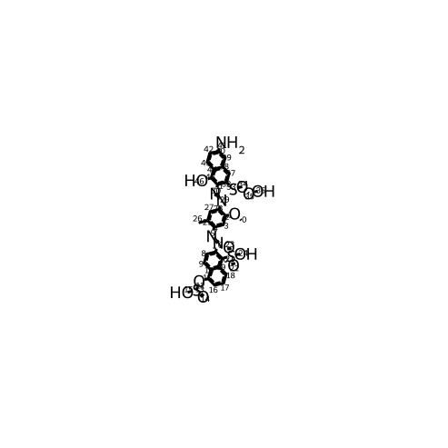 COc1cc(/N=N/c2ccc3c(OS(=O)O)cccc3c2S(=O)(=O)O)c(C)cc1/N=N/c1c(SOOO)cc2cc(N)ccc2c1O